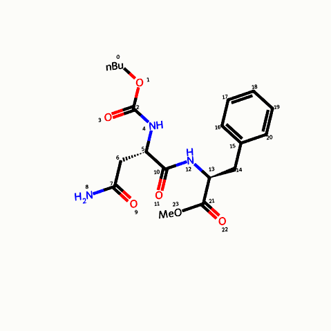 CCCCOC(=O)N[C@@H](CC(N)=O)C(=O)N[C@@H](Cc1ccccc1)C(=O)OC